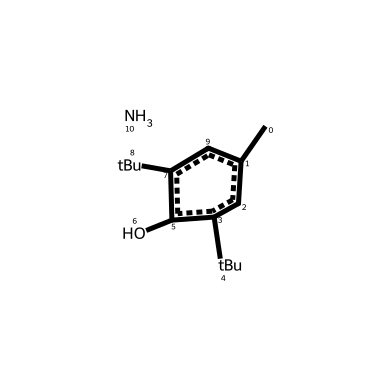 Cc1cc(C(C)(C)C)c(O)c(C(C)(C)C)c1.N